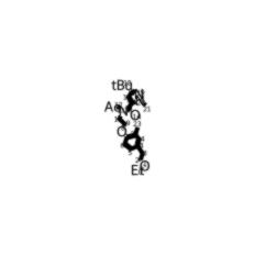 CCOCCc1ccc(OCCN(C(C)=O)C(=O)c2cc(C(C)(C)C)nn2C)c(C)c1